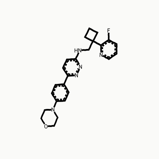 Fc1cccnc1C1(CNc2ccc(-c3ccc(N4CCOCC4)cc3)nn2)CCC1